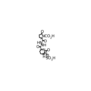 O=C(NNC(=O)[C@@H]1CC[C@@H]2CN1C(=O)N2OS(=O)(=O)O)[C@H]1CCC(=O)N1C(=O)O